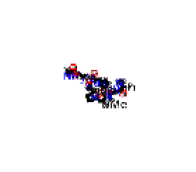 CCC(C)C(C(CC(=O)N1CCCC1C(OC)C(C)C(=O)NC(Cc1ccccc1)C(=O)NCCCOC(=O)C(C)N)OC)N(C)C(=O)CNC(=O)C(C(C)C)N(C)C